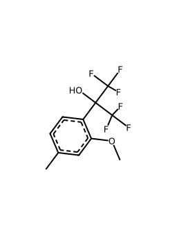 COc1cc(C)ccc1C(O)(C(F)(F)F)C(F)(F)F